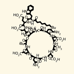 CCC(C)CCCCCCC(=O)NC(Cc1c[nH]c2ccccc12)C(=O)NC(CCC(=O)O)C(=O)NC(CC(=O)O)C(=O)NC1C(=O)N(C)CC(=O)NC(CCCN)C(=O)NC(CC(=O)O)C(=O)NC(C)C(=O)NC(CC(=O)O)C(=O)NCC(=O)NC(CC(N)=O)C(=O)NC(CCC(=O)O)C(=O)NC(C(C)CC)C(=O)OC1C